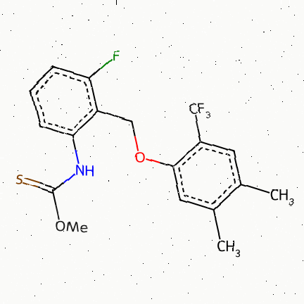 COC(=S)Nc1cccc(F)c1COc1cc(C)c(C)cc1C(F)(F)F